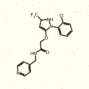 O=C(COC1=CC(C(F)(F)F)NN1c1ccccc1Cl)NCc1ccncc1